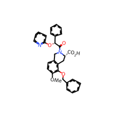 COc1ccc2c(c1OCc1ccccc1)C[C@@H](C(=O)O)N(C(=O)[C@H](Oc1ccccn1)c1ccccc1)C2